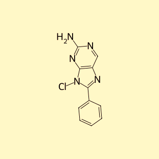 Nc1ncc2nc(-c3ccccc3)n(Cl)c2n1